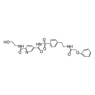 O=C(COc1ccccc1)NCCc1ccc(S(=O)(=O)NC(=O)c2ccc(C(=O)NCCO)nc2)cc1